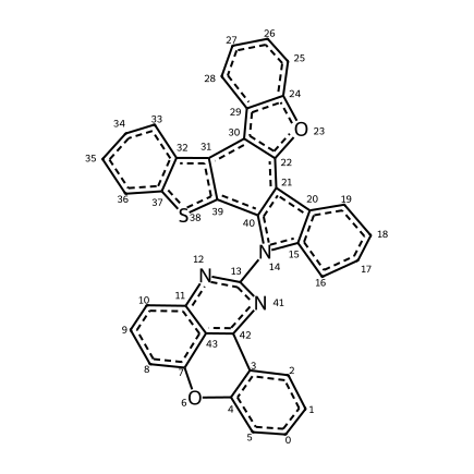 c1ccc2c(c1)Oc1cccc3nc(-n4c5ccccc5c5c6oc7ccccc7c6c6c7ccccc7sc6c54)nc-2c13